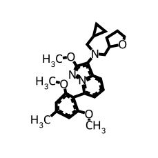 COc1cc(C)cc(OC)c1-c1cccc2c(N(CC3CC3)CC3CCCO3)c(OC)nn12